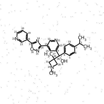 CC(C)c1ccc([C@](O)(c2cncc(-c3noc(-c4cccnc4)n3)c2)C2(C)CN(C)C2)cc1